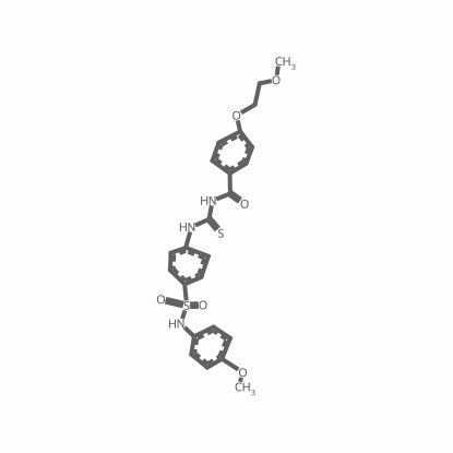 COCCOc1ccc(C(=O)NC(=S)Nc2ccc(S(=O)(=O)Nc3ccc(OC)cc3)cc2)cc1